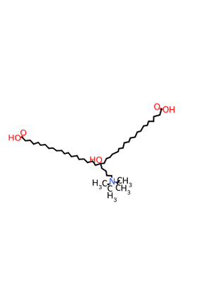 CC(C)N(CCCCC(O)(CCCCCCCCCCCCCCCCCCCC(=O)O)CCCCCCCCCCCCCCCCCCCC(=O)O)C(C)C